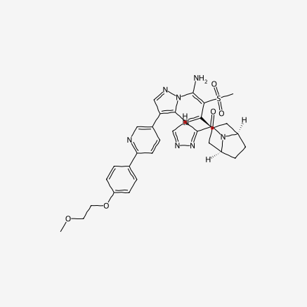 COCCOc1ccc(-c2ccc(-c3cnn4c(N)c(S(C)(=O)=O)c([C@H]5C[C@H]6CC[C@@H](C5)N6C(=O)c5nnc[nH]5)nc34)cn2)cc1